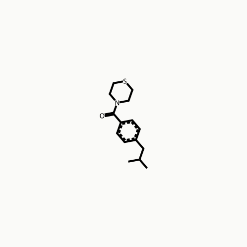 CC(C)Cc1ccc(C(=O)N2CCSCC2)cc1